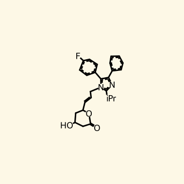 CC(C)c1nc(-c2ccccc2)c(-c2ccc(F)cc2)n1CC=CC1CC(O)CC(=O)O1